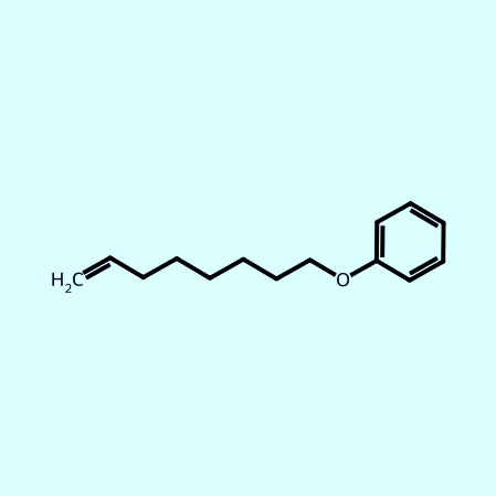 C=CCCCCCCOc1ccccc1